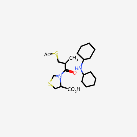 C1CCC(NC2CCCCC2)CC1.CC(=O)SCC(C)C(=O)N1CSCC1C(=O)O